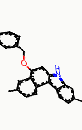 Cc1ccc2c(c1)[nH]c1cc(OCc3ccccc3)c3cc(C)ccc3c12